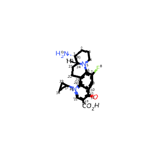 N[C@@H]1CCCN2c3c(F)cc4c(=O)c(C(=O)O)cn(C5CC5)c4c3CC[C@H]12